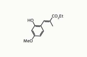 CCOC(=O)/C(C)=C/c1ccc(OC)cc1O